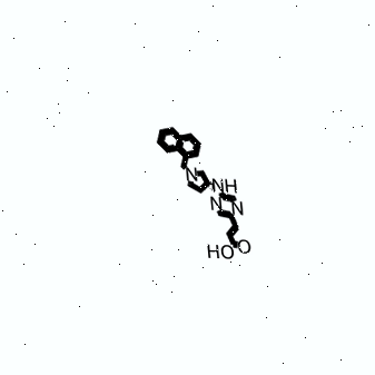 O=C(O)C=Cc1cnc(N[C@@H]2CCN(Cc3cccc4ccccc34)C2)cn1